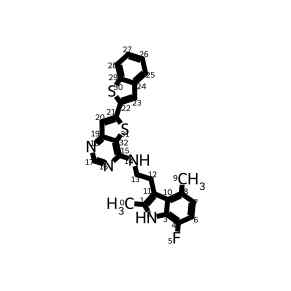 Cc1[nH]c2c(F)ccc(C)c2c1CCNc1ncnc2cc(-c3cc4ccccc4s3)sc12